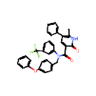 Cc1[nH]c(=O)c(C(=O)N(Cc2ccc(Oc3ccccc3)cc2)c2cccc(C(F)(F)F)c2)cc1-c1ccccc1